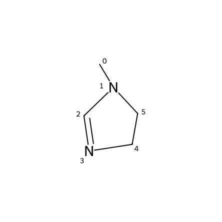 CN1C=NCC1